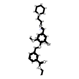 CCOC(=O)c1cccc(COc2c(Br)cc(/C=N/CCN3CCCCC3)cc2OC)c1